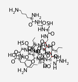 CC[C@H](C)[C@H](NC(=O)[C@@H]1CCCN1C(=O)[C@@H]1CCCN1C(=O)[C@@H](NC(=O)[C@H](CO)NC(=O)[C@H](CCCCN)NC(=O)[C@@H](NC(=O)[C@H](C)NC(=O)[C@H](CCCNC(=N)N)NC(=O)CNC(=O)[C@H](CS)NC(=O)CNC(=O)[C@@H](N)CCCCN)[C@@H](C)O)[C@@H](C)CC)C(=O)N[C@@H](CS)C(=O)N[C@@H](Cc1ccccc1)C(=O)O